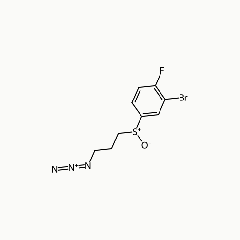 [N-]=[N+]=NCCC[S+]([O-])c1ccc(F)c(Br)c1